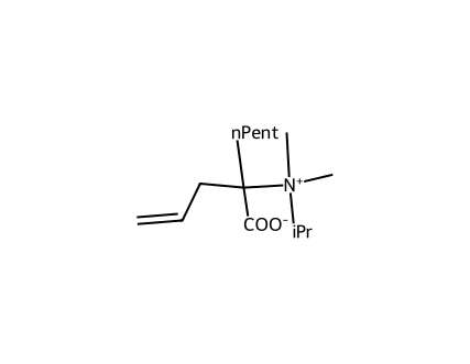 C=CCC(CCCCC)(C(=O)[O-])[N+](C)(C)C(C)C